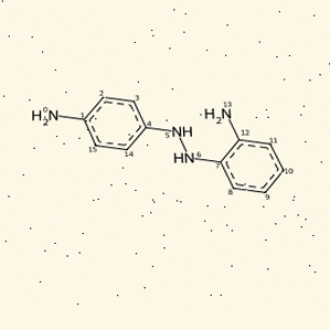 Nc1ccc(NNc2ccccc2N)cc1